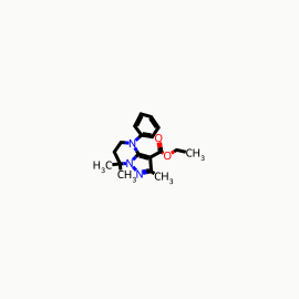 CCOC(=O)c1c(C)nn2c1N(c1ccccc1)CCC2(C)C